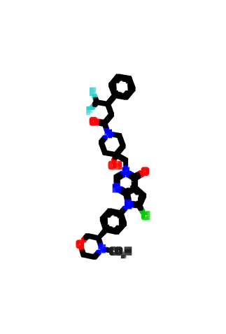 O=C(CC(c1ccccc1)C(F)F)N1CCC(O)(Cn2cnc3c(cc(Cl)n3-c3ccc([C@@H]4COCCN4C(=O)O)cc3)c2=O)CC1